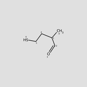 CC([C]=O)CCS